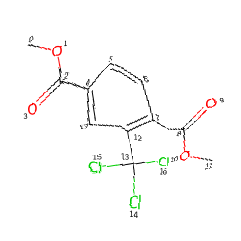 COC(=O)c1ccc(C(=O)OC)c(C(Cl)(Cl)Cl)c1